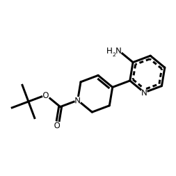 CC(C)(C)OC(=O)N1CC=C(c2ncccc2N)CC1